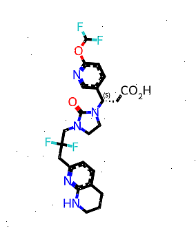 O=C(O)C[C@@H](c1ccc(OC(F)F)nc1)N1CCN(CC(F)(F)Cc2ccc3c(n2)NCCC3)C1=O